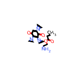 CCCC(=O)OCCN.O=C1C=C(N2CC2)C(=O)C(N2CC2)=C1N1CC1